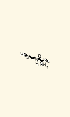 CCC(C)C(N)C(=O)NCCCSO